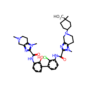 CN1CCc2c(nc(C(=O)Nc3cccc(-c4cccc(NC(=O)c5nc6c(n5C)CCN(C5CCC(C)(C(=O)O)CC5)C6)c4Cl)c3O)n2C)C1